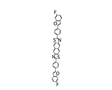 Fc1ccc2cc(-c3ccc(-c4nc5cc6cc7sc(-c8ccc(-c9cc%10ccc(F)cc%10o9)cc8)nc7cc6cc5s4)cc3)oc2c1